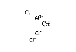 [Al+3].[CH].[Cl-].[Cl-].[Cl-]